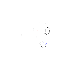 CCOC(=O)C(CC)(C(=O)O)C(OCC)C(c1cccc(OC)c1)c1ccccn1